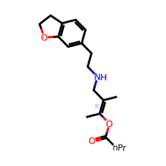 CCCC(=O)O/C(C)=C(\C)CNCCc1ccc2c(c1)OCC2